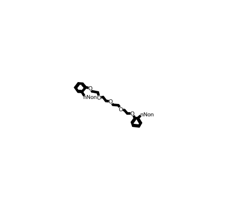 CCCCCCCCCc1ccccc1OCCOCCOCCOCCOc1ccccc1CCCCCCCCC